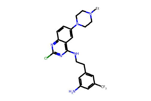 CCN1CCN(c2ccc3nc(Cl)nc(NCCc4cc(N)cc(C(F)(F)F)c4)c3c2)CC1